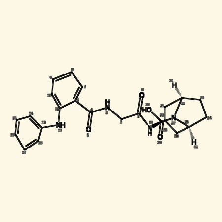 O=C(CNC(=O)c1ccccc1Nc1ccccc1)N[C@H]1C[C@H]2CC[C@@H](C1)N2C(=O)O